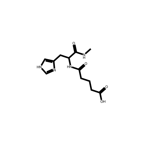 CNC(=O)C(Cc1c[nH]cn1)NC(=O)CCCC(=O)O